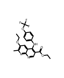 CCOC(=O)c1cnc2nc(C)c(OCC)cc2c1Nc1ccc(OC(F)(F)F)cc1